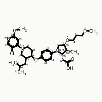 COCCCO[C@H]1CN(c2ccc(OC3CCN(c4cc(OC)ncc4Cl)CC3CC(C)C)cc2)[C@@H](CC(=O)O)[C@@H]1C